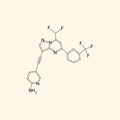 Nc1ccc(C#Cc2cnn3c(C(F)F)cc(-c4cccc(C(F)(F)F)c4)nc23)cn1